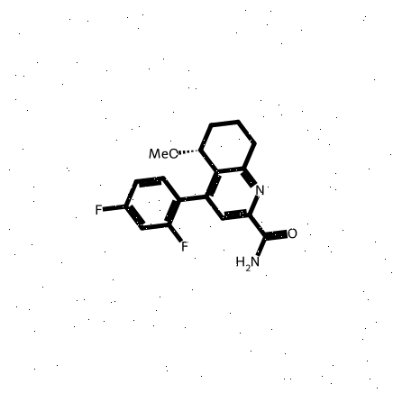 CO[C@@H]1CCCc2nc(C(N)=O)cc(-c3ccc(F)cc3F)c21